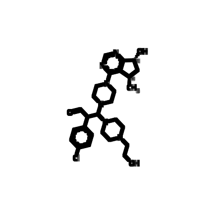 C[C@@H]1C[C@@H](O)c2ncnc(N3CCN(C(C(C=O)c4ccc(Cl)cc4)N4CCN(CCO)CC4)CC3)c21